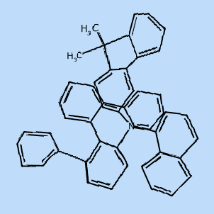 CC1(C)c2ccccc2-c2cc(N(c3cccc(-c4ccccc4)c3-c3ccccc3-c3ccccc3)c3cccc4ccccc34)ccc21